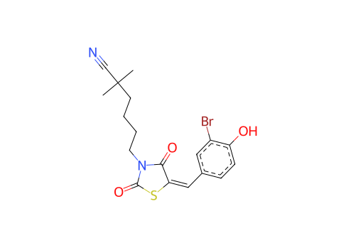 CC(C)(C#N)CCCCN1C(=O)SC(=Cc2ccc(O)c(Br)c2)C1=O